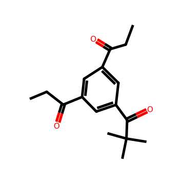 CCC(=O)c1cc(C(=O)CC)cc(C(=O)C(C)(C)C)c1